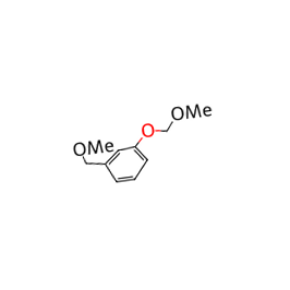 COCOc1cccc(COC)c1